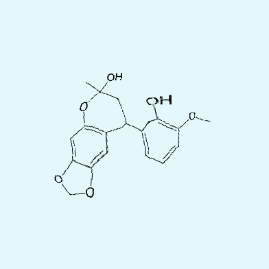 COc1cccc(C2CC(C)(O)Oc3cc4c(cc32)OCO4)c1O